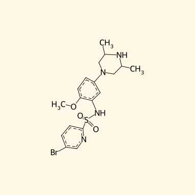 COc1ccc(N2CC(C)NC(C)C2)cc1NS(=O)(=O)c1ccc(Br)cn1